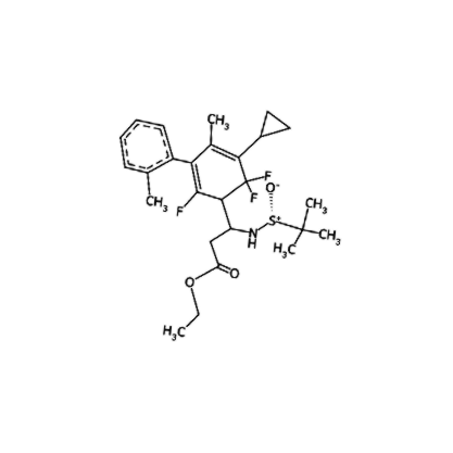 CCOC(=O)CC(N[S@+]([O-])C(C)(C)C)C1C(F)=C(c2ccccc2C)C(C)=C(C2CC2)C1(F)F